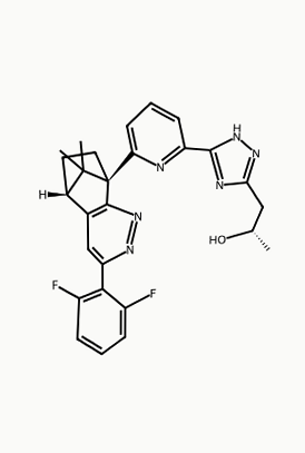 C[C@H](O)Cc1n[nH]c(-c2cccc([C@@]34CC[C@@H](c5cc(-c6c(F)cccc6F)nnc53)C4(C)C)n2)n1